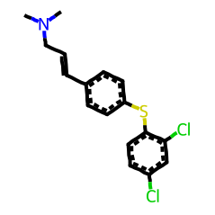 CN(C)CC=Cc1ccc(Sc2ccc(Cl)cc2Cl)cc1